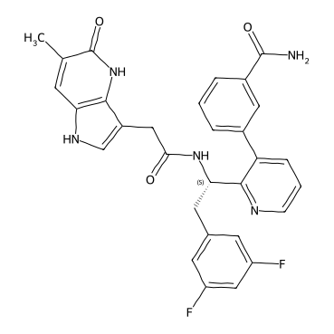 Cc1cc2[nH]cc(CC(=O)N[C@@H](Cc3cc(F)cc(F)c3)c3ncccc3-c3cccc(C(N)=O)c3)c2[nH]c1=O